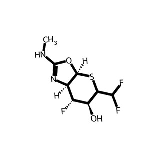 CNC1=N[C@@H]2[C@@H](F)[C@H](O)C(C(F)F)S[C@@H]2O1